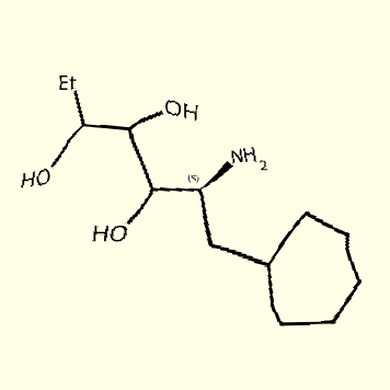 CCC(O)C(O)C(O)[C@@H](N)CC1CCCCC1